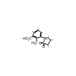 Cc1c(C(=O)O)cccc1N1CCCS1(=O)=O